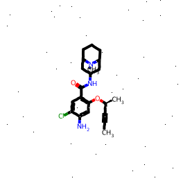 CC#C[C@H](C)Oc1cc(N)c(Cl)cc1C(=O)NC1CC2CCCC(C1)N2C